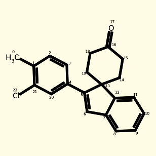 Cc1ccc(C2=Cc3ccccc3C23CCC(=O)CC3)cc1Cl